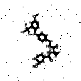 COc1ccc(Oc2ccc(CNC(=O)C3(NC(=O)c4ccnc(O)c4)CC3)cc2)c(C(F)(F)F)c1